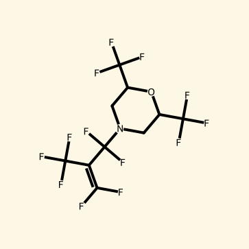 FC(F)=C(C(F)(F)F)C(F)(F)N1CC(C(F)(F)F)OC(C(F)(F)F)C1